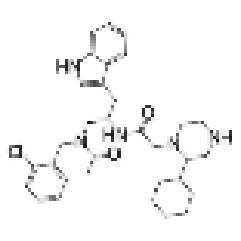 CC(=O)N(Cc1ccccc1Cl)C[C@@H](Cc1c[nH]c2ccccc12)NC(=O)CN1CCNCC1C1CCCCC1